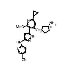 COc1nc(C2CC2)cc(O[C@@H]2CC[C@H](N)C2)c1-c1cc(Nc2ccc(C#N)cn2)n[nH]1